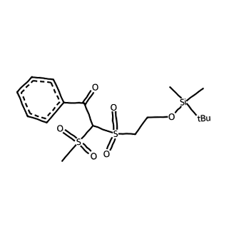 CC(C)(C)[Si](C)(C)OCCS(=O)(=O)C(C(=O)c1ccccc1)S(C)(=O)=O